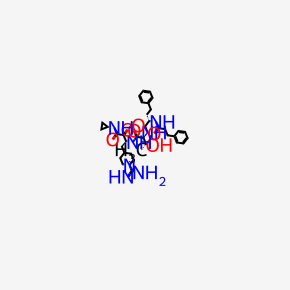 C[C@@H](O)[C@H](NC(=O)[C@H](CCc1ccccc1)NC(=O)CCc1ccccc1)C(=O)N[C@@H](CC1CCN(C(=N)N)CC1)C(=O)C(=O)NC1CC1